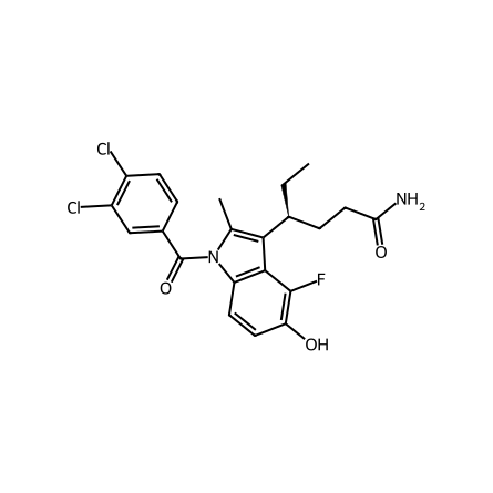 CC[C@@H](CCC(N)=O)c1c(C)n(C(=O)c2ccc(Cl)c(Cl)c2)c2ccc(O)c(F)c12